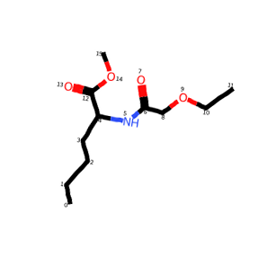 CCCCC(NC(=O)COCC)C(=O)OC